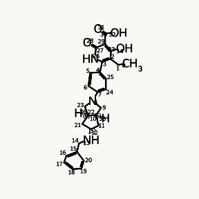 CCc1c(-c2ccc(N3C[C@H]4C[C@H](NCc5ccccc5)C[C@H]4C3)cc2)[nH]c(=O)c(C(=O)O)c1O